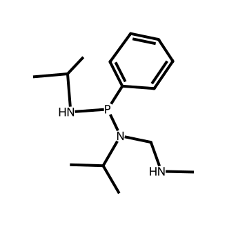 CNCN(C(C)C)P(NC(C)C)c1ccccc1